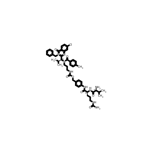 Cc1ccc(C(=O)N(CCCNC(=O)OCc2ccc(NC(=O)[C@H](CCCNC(N)=O)NC(=O)[C@@H](N)C(C)C)cc2)[C@H](c2nc3cc(Cl)ccc3c(=O)n2Cc2ccccc2)C(C)C)cc1